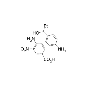 CCC(O)c1ccc(N)cc1.Nc1ccc(C(=O)O)cc1[N+](=O)[O-]